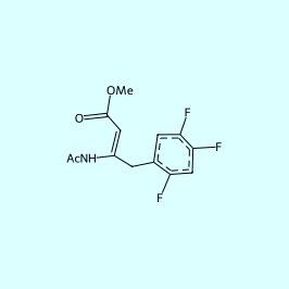 COC(=O)C=C(Cc1cc(F)c(F)cc1F)NC(C)=O